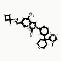 Cn1cnnc1C1(c2cccc(-n3cc4c(C(F)(F)F)cc(CNC5(C)CCC5)cn4c3=O)c2)CCOCC1